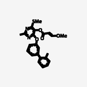 COC=CC(=O)Oc1c(Oc2cccc(-c3ccccc3C)c2)nc(C)nc1SC